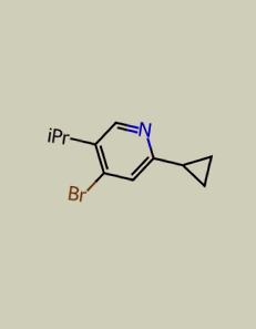 CC(C)c1cnc(C2CC2)cc1Br